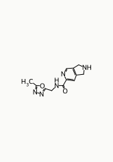 Cc1nnc(CNC(=O)c2cc3c(cn2)CNC3)o1